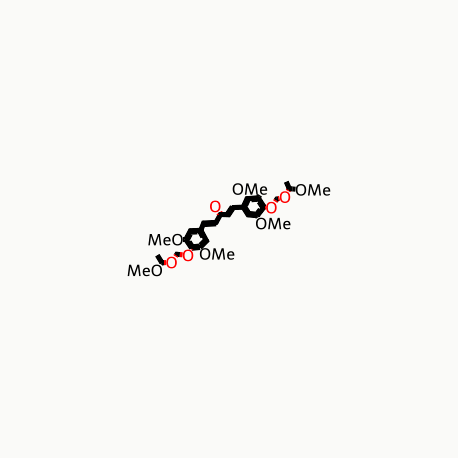 COc1cc(C=CC(=O)C=Cc2cc(OC)c(OCOC(C)OC)c(OC)c2)cc(OC)c1OCOC(C)OC